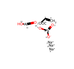 C=CC(=O)[O-].O=[Si]([O-])[O-].[Na+].[Na+].[Na+].[O]=[Al][OH]